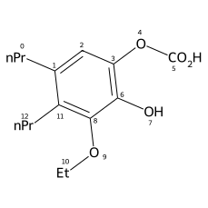 CCCc1cc(OC(=O)O)c(O)c(OCC)c1CCC